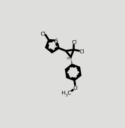 COc1ccc([C@@H]2C(c3ccc(Cl)s3)C2(Cl)Cl)cc1